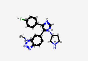 CC(C)n1nnc2ccc(-c3c(-c4ccc(F)cc4)ncn3[C@H]3CCNC3)cc21